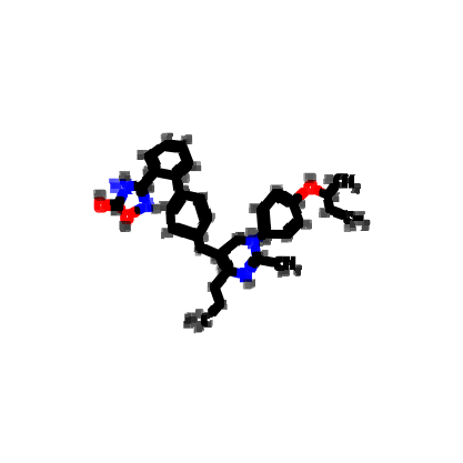 CCCC1=C(Cc2ccc(-c3ccccc3-c3noc(=O)[nH]3)cc2)CN(c2ccc(OC(C)CC)cc2)C(C)=N1